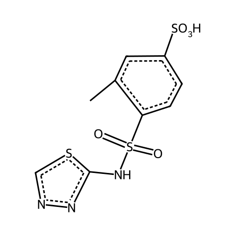 Cc1cc(S(=O)(=O)O)ccc1S(=O)(=O)Nc1nncs1